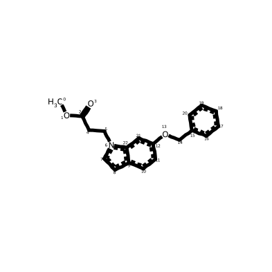 COC(=O)CCn1ccc2ccc(OCc3ccccc3)cc21